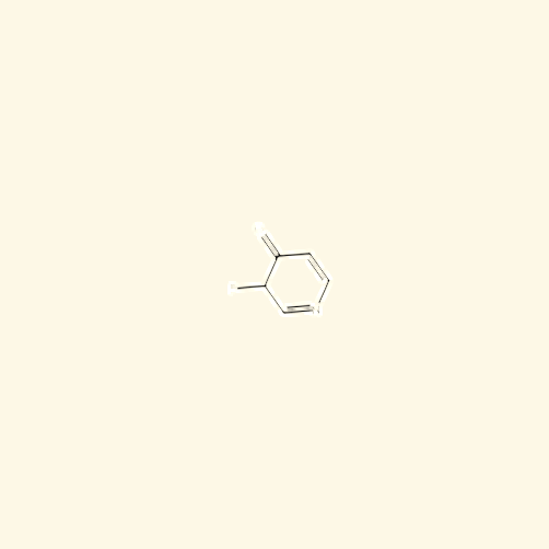 O=C1C=CN=CC1F